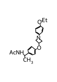 CCOc1ccc(N2CC(Oc3ccc(C(C)NC(C)=O)cc3)C2)cc1